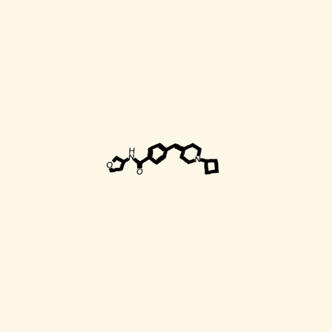 O=C(NC1CCOC1)c1ccc(C=C2CCN(C3CCC3)CC2)cc1